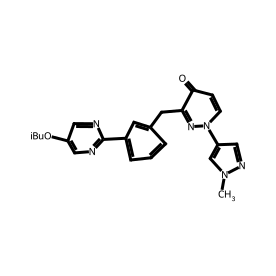 CC(C)COc1cnc(-c2cccc(Cc3nn(-c4cnn(C)c4)ccc3=O)c2)nc1